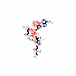 CC(C)(COP(=O)(O)OP(=O)(O)OC[C@H]1O[C@@H](n2cnc3c(N)ncnc32)[C@H](O)[C@@H]1OP(=O)(O)O)C(O)C(=O)NCCC(=O)NCCS.NC(=O)CCC(N)=O